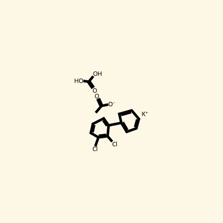 CC(=O)[O-].Clc1cccc(-c2ccccc2)c1Cl.O=C(O)O.[K+]